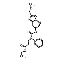 CCOC(=O)CCN(C(=O)Oc1cnc2sc(COC)nc2c1)c1ccccc1